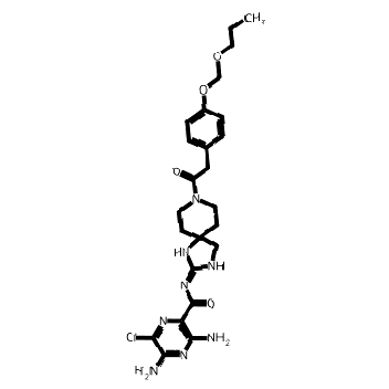 CCCOCOc1ccc(CC(=O)N2CCC3(CC2)CN/C(=N\C(=O)c2nc(Cl)c(N)nc2N)N3)cc1